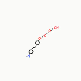 CN(C)c1ccc(/C=C/c2ccc(OCCOCCOCCO)cc2)cc1